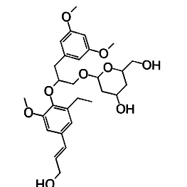 CCc1cc(/C=C/CO)cc(OC)c1OC(COC1CC(O)CC(CO)O1)Cc1cc(OC)cc(OC)c1